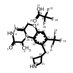 CC1C(=O)NN=C2COc3cc(C(F)(F)F)c(CC4CNC4)cc3N21.O=C(O)C(F)(F)F